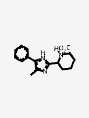 Cc1nc(C2CCCCN2C(=O)O)[nH]c1-c1ccccc1